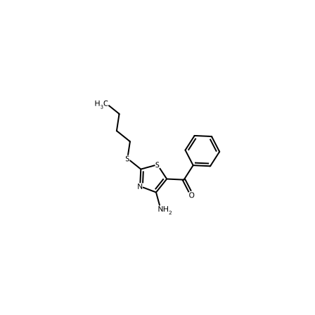 CCCCSc1nc(N)c(C(=O)c2ccccc2)s1